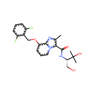 Cc1nc2c(OCc3c(F)cccc3F)cccn2c1C(=O)N[C@@H](CO)C(C)(C)O